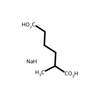 CC(CCCC(=O)O)C(=O)O.[NaH]